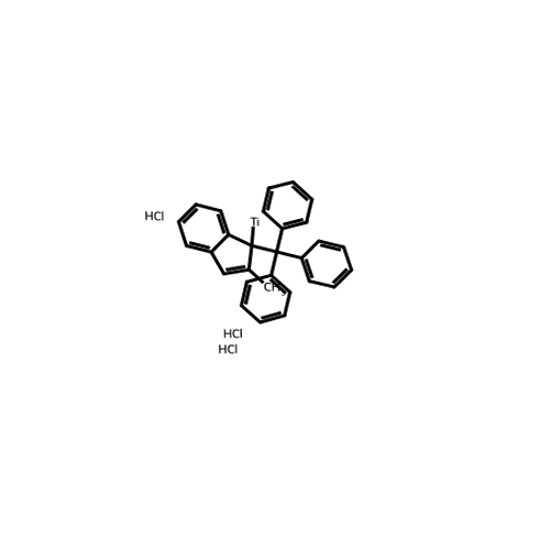 CC1=Cc2ccccc2[C]1([Ti])C(c1ccccc1)(c1ccccc1)c1ccccc1.Cl.Cl.Cl